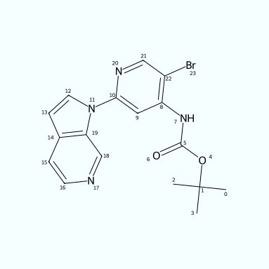 CC(C)(C)OC(=O)Nc1cc(-n2ccc3ccncc32)ncc1Br